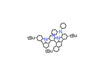 CC(C)(C)c1ccc2c(c1)c1cc(C(C)(C)C)cc3c4c5c6c7ccccc7cc7c8cc(C(C)(C)C)cc(N(c9ccccc9)c9ccccc9)c8n(c5ncc4n2c13)c76